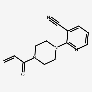 C=CC(=O)N1CCN(c2ncccc2C#N)CC1